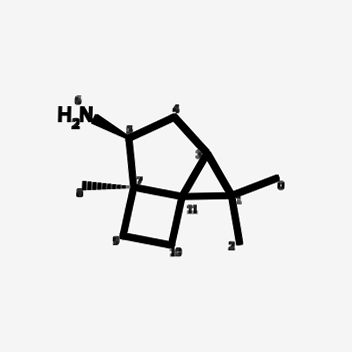 CC1(C)C2C[C@H](N)[C@]3(C)CCC213